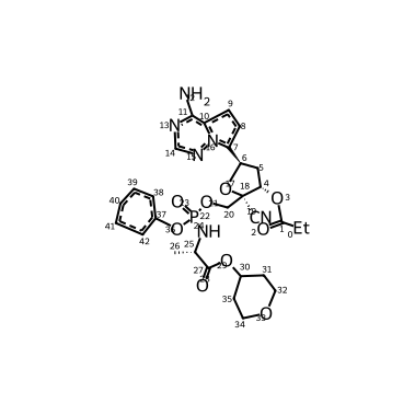 CCC(=O)O[C@H]1C[C@H](c2ccc3c(N)ncnn23)O[C@]1(C#N)COP(=O)(N[C@@H](C)C(=O)OC1CCOCC1)Oc1ccccc1